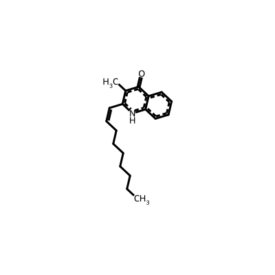 CCCCCCC/C=C\c1[nH]c2ccccc2c(=O)c1C